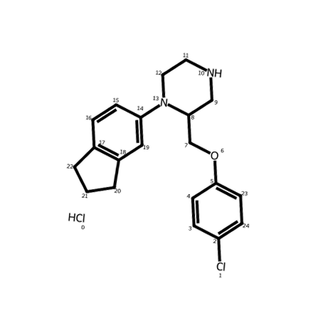 Cl.Clc1ccc(OCC2CNCCN2c2ccc3c(c2)CCC3)cc1